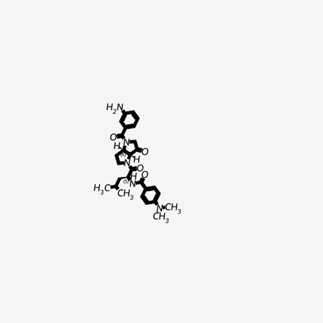 CC(C)C[C@H](NC(=O)c1ccc(N(C)C)cc1)C(=O)N1CC[C@@H]2[C@H]1C(=O)CN2C(=O)c1cccc(N)c1